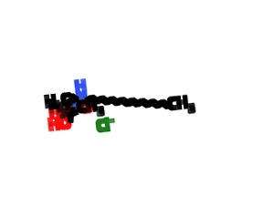 CCCCCCCCC=CCCCCCCCC(=O)NC(CC)[N+](C)(C)CC(O)CO.[Cl-]